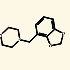 c1cc(CN2CC[N]CC2)c2c(c1)OCO2